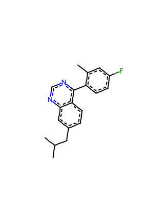 Cc1cc(F)ccc1-c1ncnc2cc(CC(C)C)ccc12